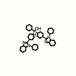 O[PH](c1ccccc1)(c1ccc(-c2nc3ccccc3n2-c2ccccc2)cc1)c1ccc(-c2nc3ccccc3n2-c2ccccc2)cc1